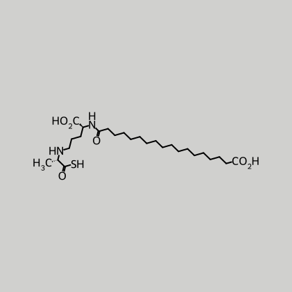 C[C@H](NCCC[C@H](NC(=O)CCCCCCCCCCCCCCCCC(=O)O)C(=O)O)C(=O)S